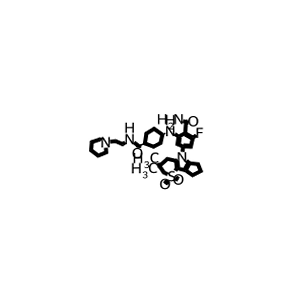 CC1(C)Cc2c(c3c(n2-c2cc(F)c(C(N)=O)c(N[C@H]4CC[C@H](C(=O)NCCN5CCCCC5)CC4)c2)CCC3)S(=O)(=O)C1